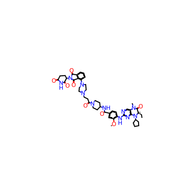 CC[C@@H]1C(=O)N(C)c2cnc(Nc3ccc(C(=O)NC4CCN(C(=O)CCN5CCN(c6cccc7c6C(=O)N(C6CCC(=O)NC6=O)C7=O)CC5)CC4)cc3OC)nc2N1C1CCCC1